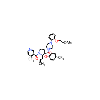 C=CCC1N(C(=O)c2cnccc2C(F)(F)F)CCC[C@@]1(Oc1ccc(C(F)(F)F)cc1)C(=O)N1CCN(c2ccccc2OCCOC)CC1